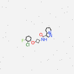 O=C(N[C@H]1C[C@H](Oc2cccc(F)c2Cl)C1)c1cnn2ccccc12